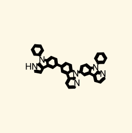 c1ccc(-n2c3ccc(-n4c5ccc(-c6ccc7c(c6)c6cc[nH]c6n7-c6ccccc6)cc5c5cccnc54)cc3c3cccnc32)cc1